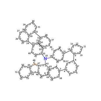 c1ccc(-c2cccc(-c3ccccc3-c3ccc(N(c4ccc(-c5cccc6cccc(-c7ccccc7)c56)cc4)c4cccc5c4sc4ccccc45)cc3)c2)cc1